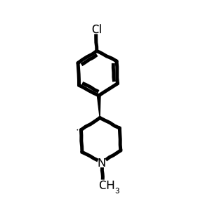 CN1C[CH][C@@H](c2ccc(Cl)cc2)CC1